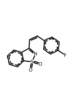 O=S1(=O)N=C(/C=C\c2ccc(F)cc2)c2ccccc21